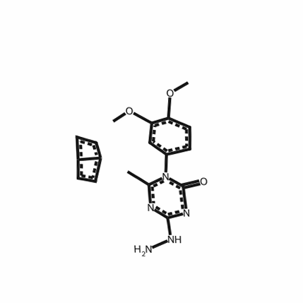 COc1ccc(-n2c(C)nc(NN)nc2=O)cc1OC.c1cc2ccc1-2